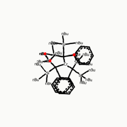 CCCC[Si](CCCC)(CCCC)[C](c1ccccc1)([Cr]([C](c1ccccc1)([Si](CCCC)(CCCC)CCCC)[Si](CCCC)(CCCC)CCCC)[C](c1ccccc1)([Si](CCCC)(CCCC)CCCC)[Si](CCCC)(CCCC)CCCC)[Si](CCCC)(CCCC)CCCC